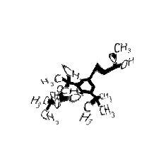 COC(O)CCc1cc(C(C)(C)C)c(OC(=O)OC(C)(C)C)c(C(C)(C)C)c1